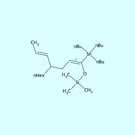 CC=CC(C/C=[C](\O[Si](C)(C)C)[Sn]([CH2]CCC)([CH2]CCC)[CH2]CCC)CCCCCC